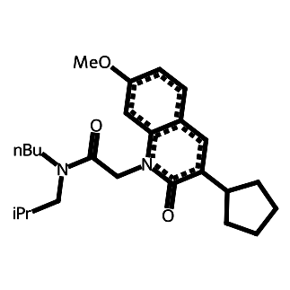 CCCCN(CC(C)C)C(=O)Cn1c(=O)c(C2CCCC2)cc2ccc(OC)cc21